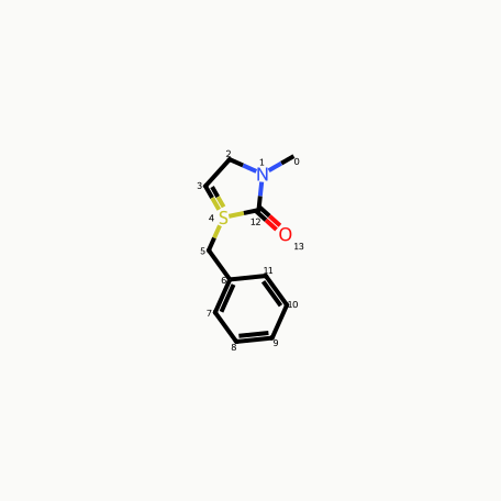 CN1CC=S(Cc2ccccc2)C1=O